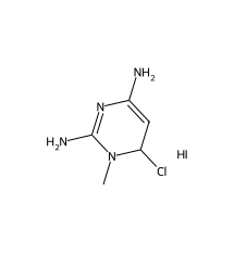 CN1C(N)=NC(N)=CC1Cl.I